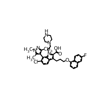 Cc1nn(C)c(C)c1-c1c(Cl)ccc2c(CCCOc3cccc4cc(F)ccc34)c(C(=O)O)n(CCN3CCNCC3)c12